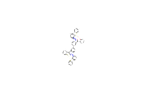 c1ccc2c(c1)oc1c2c2cc(-c3ccc4c(c3)c3c5ccccc5sc3n4-c3cccc4c3sc3ccccc34)ccc2n1-c1cccc2c1sc1ccccc12